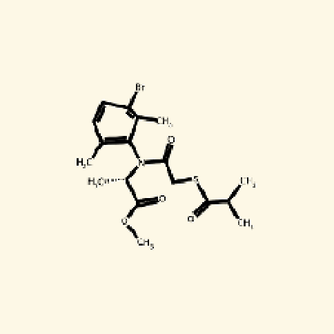 COC(=O)[C@H](C)N(C(=O)CSC(=O)C(C)C)c1c(C)ccc(Br)c1C